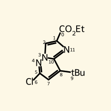 CCOC(=O)c1cn2nc(Cl)cc(C(C)(C)C)c2n1